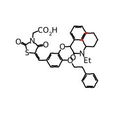 CCN(C(=O)C(Oc1cc(C=C2SC(=O)N(CC(=O)O)C2=O)ccc1OCCc1ccccc1)c1ccccc1)C1CCCCC1